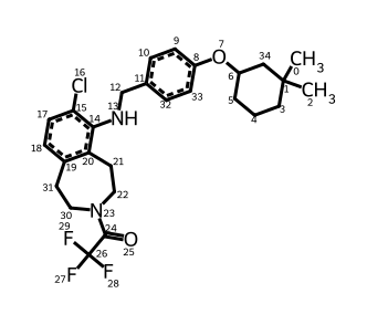 CC1(C)CCCC(Oc2ccc(CNc3c(Cl)ccc4c3CCN(C(=O)C(F)(F)F)CC4)cc2)C1